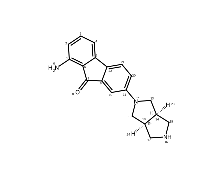 Nc1cccc2c1C(=O)c1cc(N3C[C@H]4CNC[C@H]4C3)ccc1-2